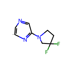 FC1(F)CCN(c2cnc[c]n2)C1